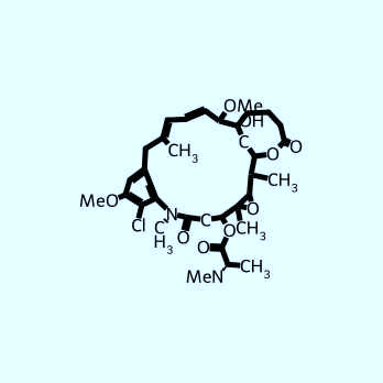 CN[C@@H](C)C(=O)OC1CC(=O)N(C)c2cc(cc(OC)c2Cl)C/C(C)=C/C=C/C(OC)C2(O)CCCC(=O)OC(C2)C(C)C2OC12C